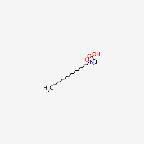 CCCCCCCCCCCCCCCCCC(=O)N1CCCC1C(=O)O